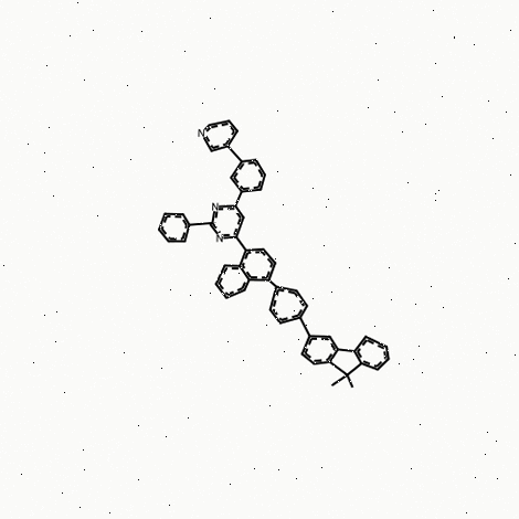 CC1(C)c2ccccc2-c2cc(-c3ccc(-c4ccc(-c5cc(-c6cccc(-c7cccnc7)c6)nc(-c6ccccc6)n5)c5ccccc45)cc3)ccc21